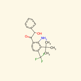 CC(C)(C)c1c(C(F)(F)F)ccc(C(=O)C(O)c2ccccc2)c1N